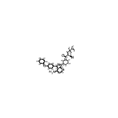 CN(C)C(C)(C)C=C(C#N)C(=O)N1CCCC(n2nc(-c3ccc(Oc4ccccc4)cc3)c3c(N)ncnc32)C1